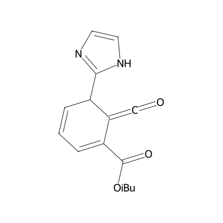 CC(C)COC(=O)C1=CC=CC(c2ncc[nH]2)C1=C=O